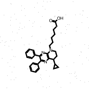 O=C(O)CCCCCCN1CCC(C2CC2)c2nc(-c3ccccc3)c(-c3ccccc3)nc21